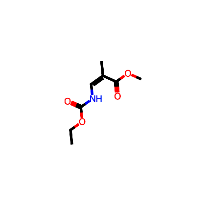 CCOC(=O)NC=C(C)C(=O)OC